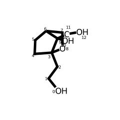 OCCC12CCC(CO1)C2(O)CO